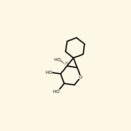 OC1COC2C3(CCCCC3)[C@]2(O)C1O